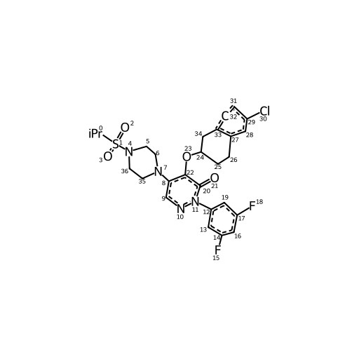 CC(C)S(=O)(=O)N1CCN(c2cnn(-c3cc(F)cc(F)c3)c(=O)c2OC2CCc3cc(Cl)ccc3C2)CC1